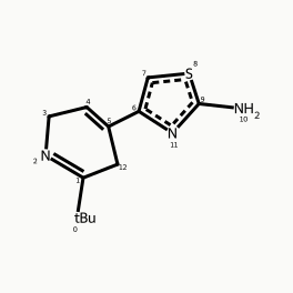 CC(C)(C)C1=NCC=C(c2csc(N)n2)C1